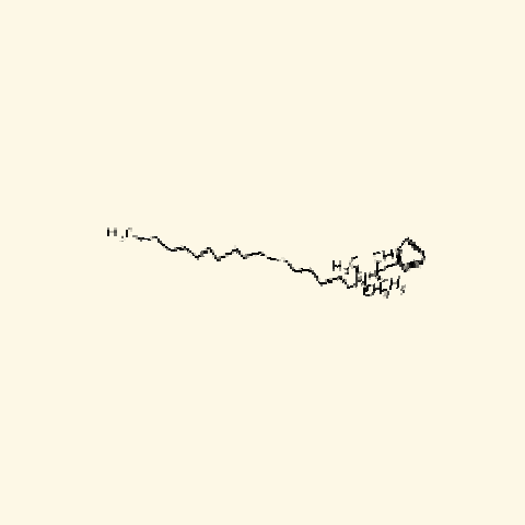 CCCCCCCCCCCCCCCCCC[N+](C)(C)C(C)(C)c1ccccc1